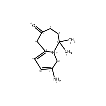 CC1(C)CCC(=O)CC2=CC=C(N)CN21